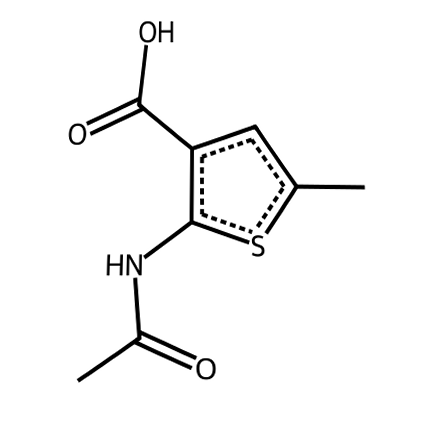 CC(=O)Nc1sc(C)cc1C(=O)O